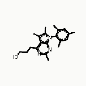 Cc1cc(C)c(-n2c(C)c(C)c3c(CCCO)nc(C)nc32)c(C)c1